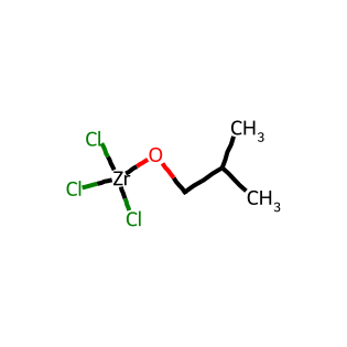 CC(C)C[O][Zr]([Cl])([Cl])[Cl]